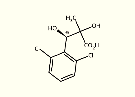 CC(O)(C(=O)O)[C@H](O)c1c(Cl)cccc1Cl